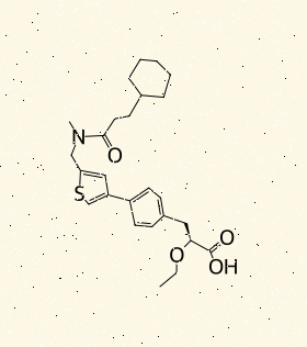 CCO[C@@H](Cc1ccc(-c2csc(CN(C)C(=O)CCC3CCCCC3)c2)cc1)C(=O)O